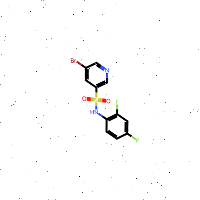 O=S(=O)(Nc1ccc(F)cc1F)c1cncc(Br)c1